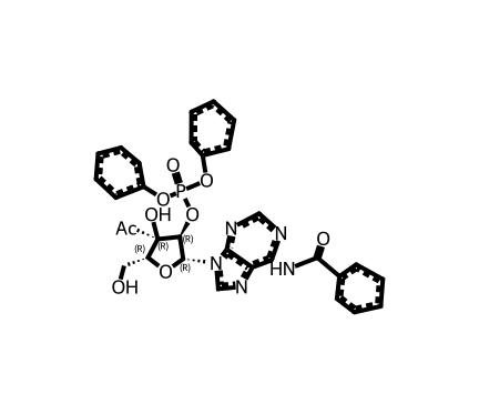 CC(=O)[C@@]1(O)[C@@H](CO)O[C@@H](n2cnc3c(NC(=O)c4ccccc4)ncnc32)[C@@H]1OP(=O)(Oc1ccccc1)Oc1ccccc1